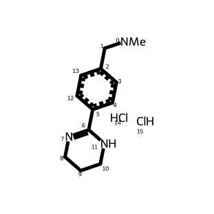 CNCc1ccc(C2=NCCCN2)cc1.Cl.Cl